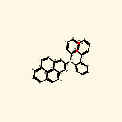 c1ccc(-c2ccccc2N(c2ccccc2)c2cc3ccc4cccc5ccc(c2)c3c45)cc1